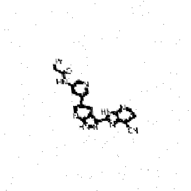 CC(C)CC(=O)Nc1cncc(-c2cnc3[nH]nc(-c4nc5c(C#N)ccnc5[nH]4)c3c2)c1